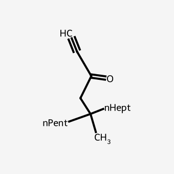 C#CC(=O)CC(C)(CCCCC)CCCCCCC